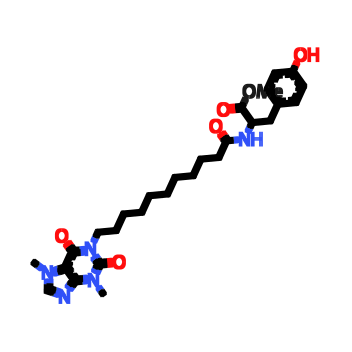 COC(=O)C(Cc1ccc(O)cc1)NC(=O)CCCCCCCCCCn1c(=O)c2c(ncn2C)n(C)c1=O